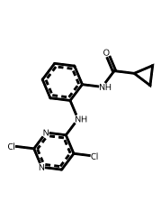 O=C(Nc1ccccc1Nc1nc(Cl)ncc1Cl)C1CC1